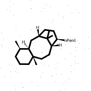 CCCCC[C@@H]1CC[C@H]2C[C@@H]3[C@H](C)CCC[C@@]3(C)CC[C@@H]1C2(C)C